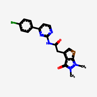 Cn1c(=O)c2c(CC(=O)Nc3nccc(-c4ccc(Br)cc4)n3)csc2n1C